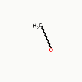 C=CCCCCCCCCC/C=C/C=O